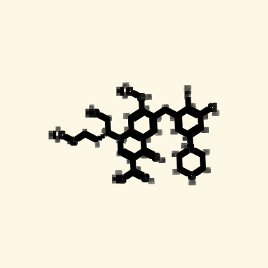 COCC[C@H](CO)n1cc(C(=O)O)c(=O)c2cc(Cc3cc(N4CCOCC4)cc(Cl)c3F)c(OC)cc21